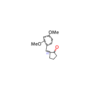 COc1ccc(/C=C2/CCCC2=O)c(OC)c1